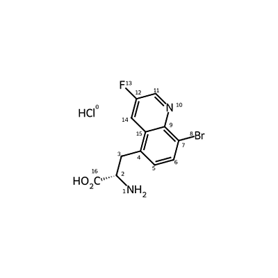 Cl.N[C@@H](Cc1ccc(Br)c2ncc(F)cc12)C(=O)O